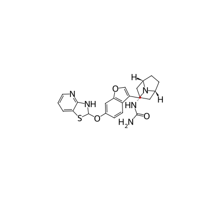 NC(=O)N[C@H]1C[C@H]2CC[C@@H](C1)N2Cc1coc2cc(OC3Nc4ncccc4S3)ccc12